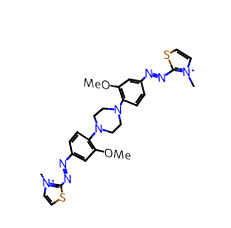 COc1cc(/N=N/c2scc[n+]2C)ccc1N1CCN(c2ccc(/N=N/c3scc[n+]3C)cc2OC)CC1